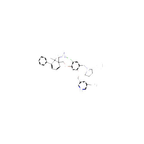 CN(C)C(=O)C1(COc2cc(OCc3cncc(C#N)c3)c(CN3CCC[C@H]3C(=O)O)cc2Cl)C=CC=C(c2ccccc2)C1(C)C